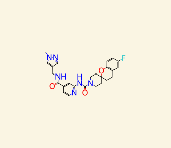 Cn1cc(CNC(=O)c2ccnc(NC(=O)N3CCC4(CCc5cc(F)ccc5O4)CC3)c2)cn1